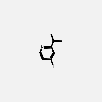 CC(C)c1cc(I)ccn1